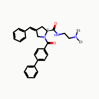 CCN(CC)CCNC(=O)[C@@H]1CC(=Cc2ccccc2)CN1C(=O)c1ccc(-c2ccccc2)cc1